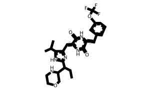 CCC(c1nc(/C=c2\[nH]c(=O)/c(=C/c3cccc(OC(F)(F)F)c3)[nH]c2=O)c(C(C)C)[nH]1)C1COCCN1